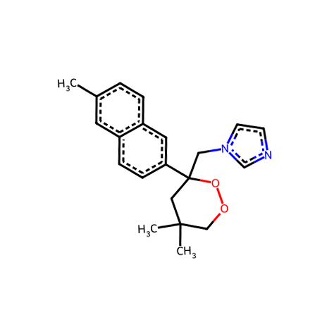 Cc1ccc2cc(C3(Cn4ccnc4)CC(C)(C)COO3)ccc2c1